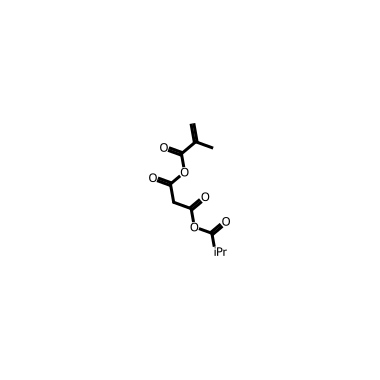 C=C(C)C(=O)OC(=O)CC(=O)OC(=O)C(C)C